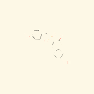 COc1ccc(CS(=O)(=O)c2cc3ccc(O)cc3sc2=O)cc1